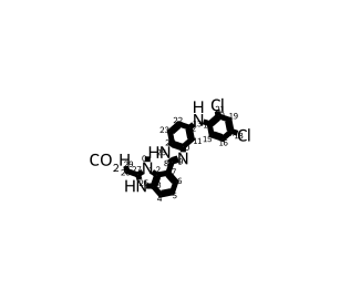 CN1c2c(cccc2-c2nc3cc(Nc4ccc(Cl)cc4Cl)ccc3[nH]2)NC1CC(=O)O